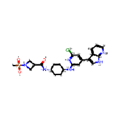 CS(=O)(=O)N1CC(C(=O)N[C@H]2CC[C@H](Nc3cc(-c4c[nH]c5ncccc45)cc(Cl)n3)CC2)C1